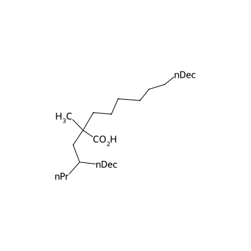 CCCCCCCCCCCCCCCCC(C)(CC(CCC)CCCCCCCCCC)C(=O)O